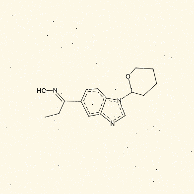 CC/C(=N\O)c1ccc2c(c1)ncn2C1CCCCO1